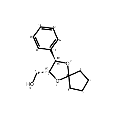 OC[C@H]1OC2(CCCC2)O[C@@H]1c1ccccc1